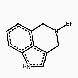 CCN1Cc2cccc3[nH]cc(c23)C1